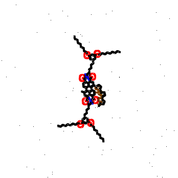 CCCCCCCCCOc1cc(CCCCCCN2C(=O)c3ccc4c5c(-c6ccc(-c7ccc(-c8ccc(C)s8)s7)s6)cc6c7c(ccc(c8c(C)cc(c3c48)C2=O)c75)C(=O)N(CCCCCCc2cc(OCCCCCCCCC)cc(OCCCCCCCCC)c2)C6=O)cc(OCCCCCCCCC)c1